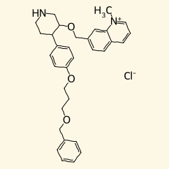 C[n+]1cccc2ccc(COC3CNCCC3c3ccc(OCCCOCc4ccccc4)cc3)cc21.[Cl-]